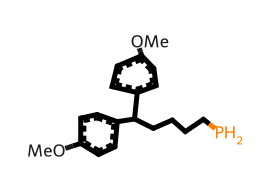 COc1ccc(C(CCCCP)c2ccc(OC)cc2)cc1